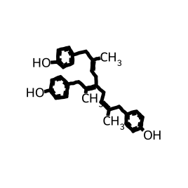 CC(=[C]CC(CC=C(C)Cc1ccc(O)cc1)=C(C)Cc1ccc(O)cc1)Cc1ccc(O)cc1